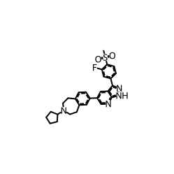 CS(=O)(=O)c1ccc(-c2n[nH]c3ncc(-c4ccc5c(c4)CCN(C4CCCC4)CC5)cc23)cc1F